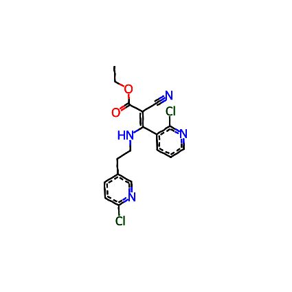 CCOC(=O)/C(C#N)=C(\NCCc1ccc(Cl)nc1)c1cccnc1Cl